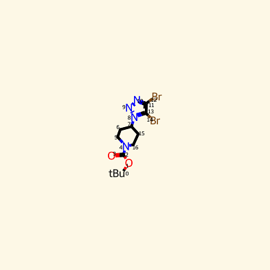 CC(C)(C)OC(=O)N1CCC(n2nnc(Br)c2Br)CC1